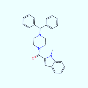 Cn1c(C(=O)N2CCN(C(c3ccccc3)c3ccccc3)CC2)cc2ccccc21